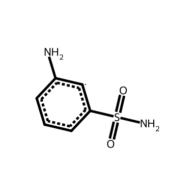 Nc1[c]c(S(N)(=O)=O)ccc1